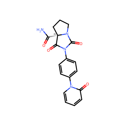 NC(=O)[C@]12[CH]CCN1C(=O)N(c1ccc(-n3ccccc3=O)cc1)C2=O